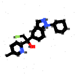 Cc1ccc(C(O)(CF)c2ccc3c(cnn3-c3ccccc3)c2)nc1